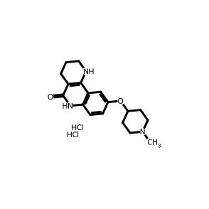 CN1CCC(Oc2ccc3[nH]c(=O)c4c(c3c2)NCCC4)CC1.Cl.Cl